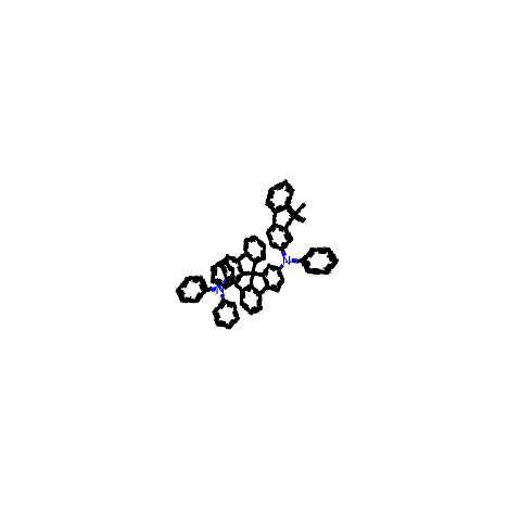 CC1(C)c2ccccc2-c2ccc(N(c3ccccc3)c3ccc4c(c3)C3(c5ccccc5-c5ccc(N(c6ccccc6)c6ccccc6)cc53)c3c(-c5ccccc5)cccc3-4)cc21